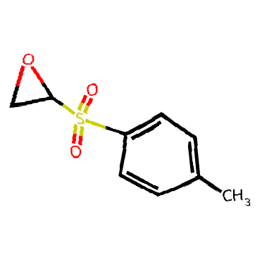 Cc1ccc(S(=O)(=O)C2CO2)cc1